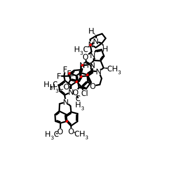 COc1ccc(CN(Cc2ccc(OC)cc2)c2cc(C)c(C(F)(F)F)c(-c3c(Cl)c4c5c(nc(OCCN6[C@@H]7CC[C@@H]6CN(C)C7)nc5c3F)N([C@H](C)c3cccnc3N(Cc3ccc(OC)cc3)Cc3ccc(OC)cc3)CCO4)n2)cc1